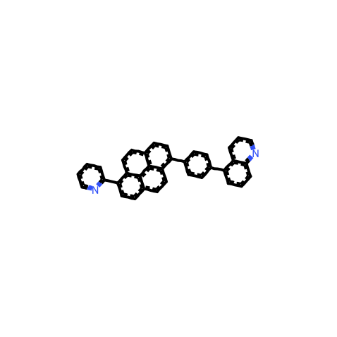 c1ccc(-c2ccc3ccc4c(-c5ccc(-c6cccc7ncccc67)cc5)ccc5ccc2c3c54)nc1